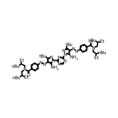 CCCCC(CC)CN(CC(CC)CCCC)C(=O)c1ccc(/N=N/c2c(C(C)(C)C)nn(-c3ncnc(-n4nc(C(C)(C)C)c(/N=N/c5ccc(C(=O)N(CC(CC)CCCC)CC(CC)CCCC)cc5)c4N)n3)c2N)cc1